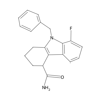 NC(=O)C1CCCc2c1c1[c]ccc(F)c1n2Cc1ccccc1